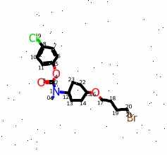 CN(C(=O)Oc1ccc(Cl)cc1)C1CCC(OCCCCBr)CC1